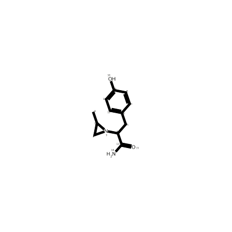 CC1CN1C(Cc1ccc(O)cc1)C(N)=O